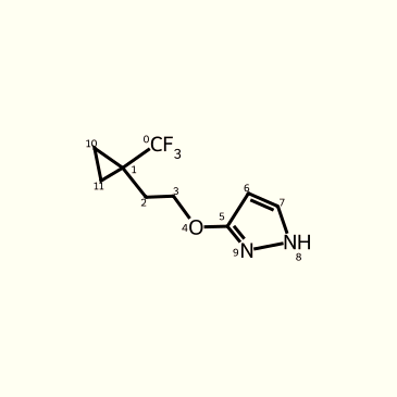 FC(F)(F)C1(CCOc2cc[nH]n2)CC1